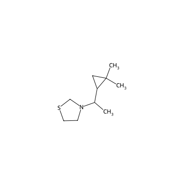 CC(C1CC1(C)C)N1CCSC1